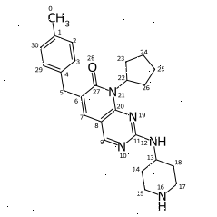 Cc1ccc(Cc2cc3cnc(NC4CCNCC4)nc3n(C3CCCC3)c2=O)cc1